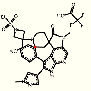 CCS(=O)(=O)N1CC(CC#N)(N2CCC3(CC2)C(=O)N(C)c2cnc4[nH]c(-c5cnn(C)c5)c(-c5ccccc5)c4c23)C1.O=C(O)C(F)(F)F